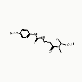 COc1ccc(NC(=S)NCCC(=O)N(C)C(C(=O)O)C(C)C)cc1